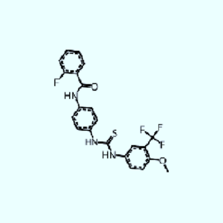 COc1ccc(NC(=S)Nc2ccc(NC(=O)c3ccccc3F)cc2)cc1C(F)(F)F